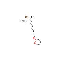 CCOC(=O)C(Br)(CCCCCCCOC1CCCCO1)C(C)=O